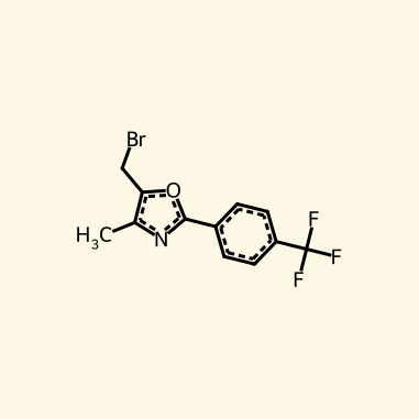 Cc1nc(-c2ccc(C(F)(F)F)cc2)oc1CBr